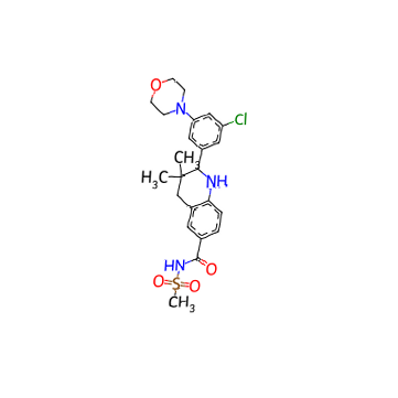 CC1(C)Cc2cc(C(=O)NS(C)(=O)=O)ccc2NC1c1cc(Cl)cc(N2CCOCC2)c1